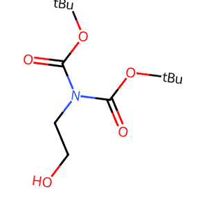 CC(C)(C)OC(=O)N(CCO)C(=O)OC(C)(C)C